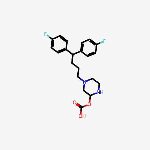 O=C(O)OC1CN(CCCC(c2ccc(F)cc2)c2ccc(F)cc2)CCN1